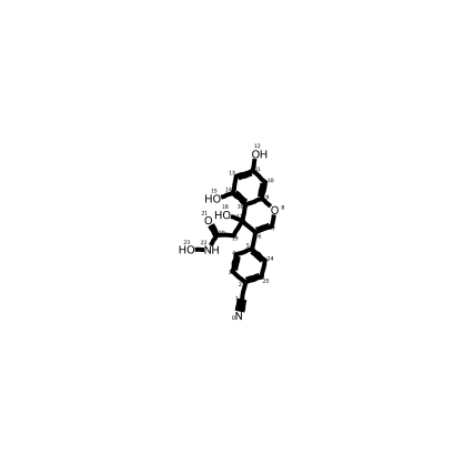 N#Cc1ccc(C2=COc3cc(O)cc(O)c3C2(O)CC(=O)NO)cc1